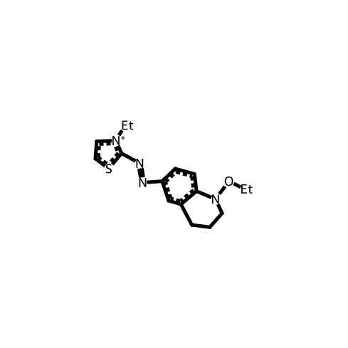 CCON1CCCc2cc(/N=N/c3scc[n+]3CC)ccc21